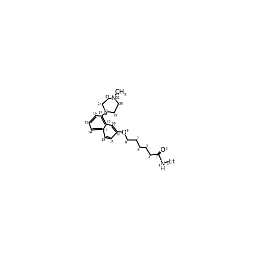 CCNC(=O)CCCCCOc1ccc2cccc(N3CCN(C)CC3)c2c1